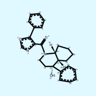 O=C(c1ncoc1-c1ccccc1)N1CC[C@](O)(c2ccccc2)[C@H]2CCCC[C@H]21